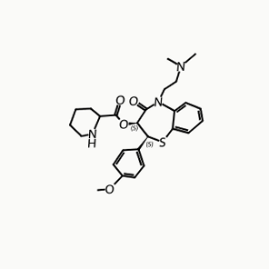 COc1ccc([C@@H]2Sc3ccccc3N(CCN(C)C)C(=O)[C@@H]2OC(=O)C2CCCCN2)cc1